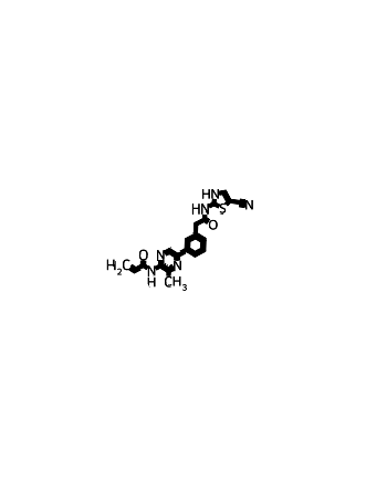 C=CC(=O)Nc1ncc(-c2cccc(CC(=O)NC3NC=C(C#N)S3)c2)nc1C